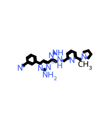 CC(c1cccc(CN/C=C(\N=N)c2cc(-c3cccc(C#N)c3)nc(N)n2)n1)N1CCCC1